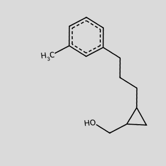 Cc1cccc(CCCC2CC2CO)c1